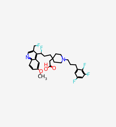 COc1ccc2ncc(CF)c([C@@H](F)CCC3(CC(=O)O)CCN(CCCc4cc(F)cc(F)c4F)CC3)c2c1